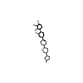 CC1CCC(C2CCC(C3CC=C(c4ccc(-c5ccc(F)c(F)c5F)c(F)c4)CC3)OC2)C1